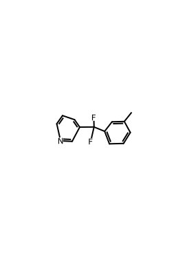 Cc1cccc(C(F)(F)c2cccnc2)c1